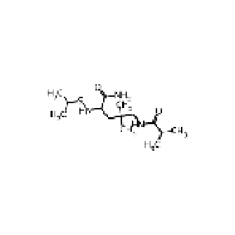 CC(C)SNC(CC(C)(C)CNC(=O)C(C)C)C(N)=O